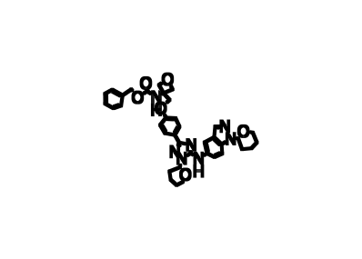 O=C(NC1(COc2ccc(-c3nc(Nc4ccc5c(cnn5C5CCCCO5)c4)n(C4CCCCO4)n3)cc2)COC1)OCc1ccccc1